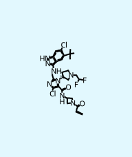 C=CC(=O)N1CC(NC(=O)c2c(Cl)nc(CNc3n[nH]c4cc(Cl)c(C(C)(C)C)cc34)n2[C@H]2CCN(CC(F)F)C2)C1